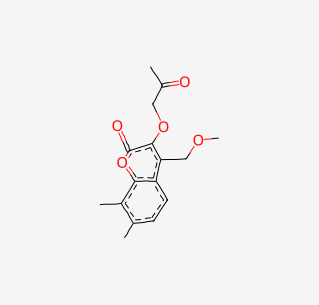 COCc1c(OCC(C)=O)c(=O)oc2c(C)c(C)ccc12